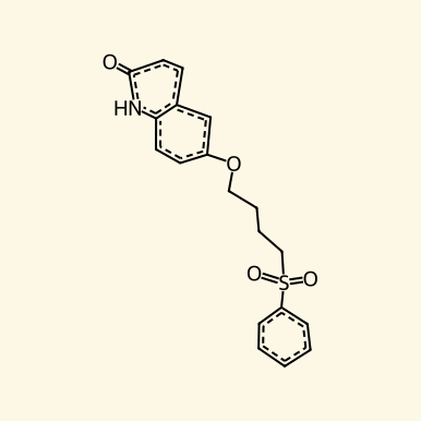 O=c1ccc2cc(OCCCCS(=O)(=O)c3ccccc3)ccc2[nH]1